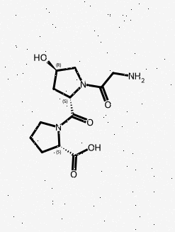 NCC(=O)N1C[C@H](O)C[C@H]1C(=O)N1CCC[C@H]1C(=O)O